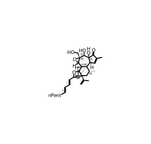 C=C(C)[C@]12C[C@@H](C)[C@@]34OC(/C=C/C=C/CCCCC)(O[C@@H]1[C@@H]3[C@@H]1O[C@]1(CO)[C@@H](O)[C@]1(O)C(=O)C(C)=C[C@H]14)O2